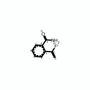 C=C(F)c1ccccc1C(N)=O